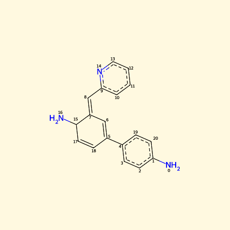 Nc1ccc(C2=CC(=Cc3ccccn3)C(N)C=C2)cc1